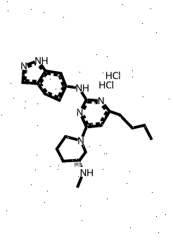 CCCCc1cc(N2CCC[C@@H](NC)C2)nc(Nc2ccc3cn[nH]c3c2)n1.Cl.Cl